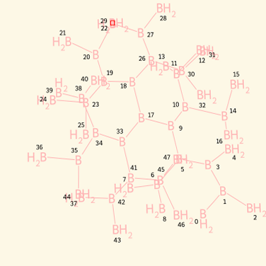 BB(B)B(B)B(B(B)B)B(B(B(B)B)B(B)B)B(B(B(B(B)B)B(B)B)B(B(B)B)B(B)B)B(B(B(B)B)B(B)B)B(B(B)B)B(B)B